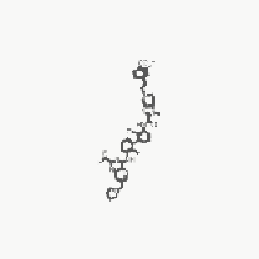 Cc1c(Nc2nc(C(F)F)nc3cc(CN4CCCC4)cnc23)cccc1-c1cccc(NC(=O)c2nc3c(n2C)CCN(CCC24CCC(C(=O)O)(CC2)C4)C3)c1Cl